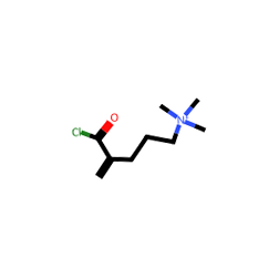 C=C(CCC[N+](C)(C)C)C(=O)Cl